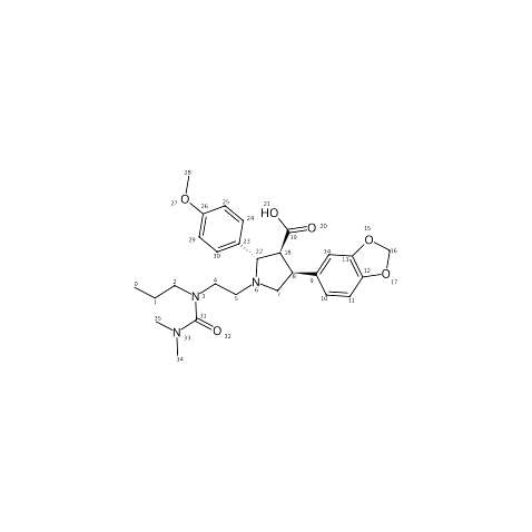 CCCN(CCN1C[C@H](c2ccc3c(c2)OCO3)[C@H](C(=O)O)[C@H]1c1ccc(OC)cc1)C(=O)N(C)C